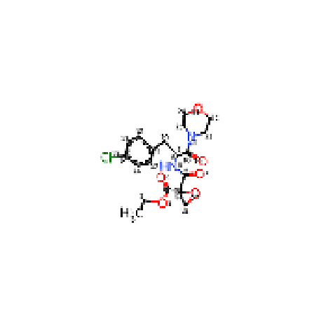 CCOC(=O)[C@@]1(C(=O)N[C@@H](Cc2ccc(Cl)cc2)C(=O)N2CCOCC2)CO1